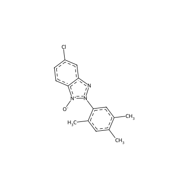 Cc1cc(C)c(-n2nc3cc(Cl)ccc3[n+]2[O-])cc1C